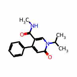 CNC(=O)c1cn(C(C)C)c(=O)cc1-c1ccccc1